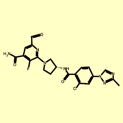 Cc1ncn(-c2ccc(C(=O)N[C@@H]3CCN(c4nc(C=O)cc(C(N)=O)c4F)C3)c(Cl)c2)n1